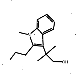 CCCc1c(C(C)(C)CO)c2ccccc2n1C